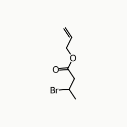 C=CCOC(=O)CC(C)Br